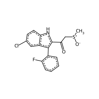 C[S+]([O-])CC(=O)c1[nH]c2ccc(Cl)cc2c1-c1ccccc1F